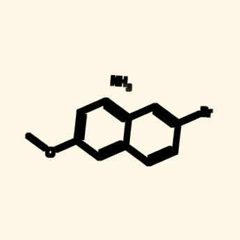 COc1ccc2cc(Br)ccc2c1.N